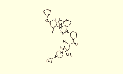 CC(C)(/C=C(\C#N)C(=O)N1CCCC(N(N=O)c2ccnc(N)c2Nc2ccc(Oc3ccccc3)cc2F)C1)N1CCN(C2COC2)CC1